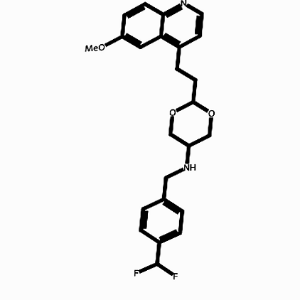 COc1ccc2nccc(CCC3OCC(NCc4ccc(C(F)F)cc4)CO3)c2c1